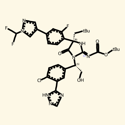 CC(C)(C)C[C@]1(c2ccc(-c3cnn(C(F)F)c3)cc2F)N/C(=N\C(=O)OC(C)(C)C)N([C@H](CO)c2ccc(Cl)c(-c3ncn[nH]3)c2)C1=O